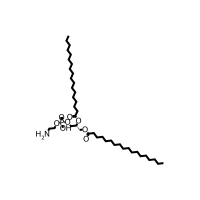 CCCCCCCCCCCCCCCCCC(=O)OC[C@H](COP(=O)(O)OCCN)OC(=O)CCCCCCCCCCCCCCCCC